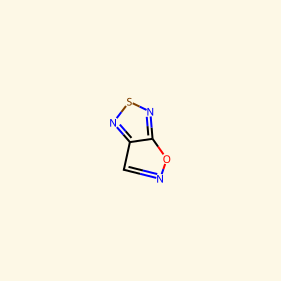 c1noc2nsnc12